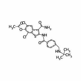 CC(=O)Oc1c(Cl)cc2c(C(N)=O)c(NC(=O)c3ccc(CNC(C)(C)C)cc3)sc2c1Cl